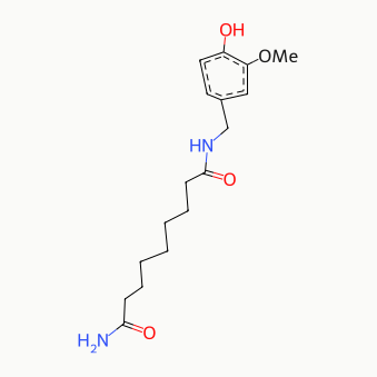 COc1cc(CNC(=O)CCCCCCCC(N)=O)ccc1O